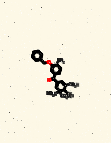 CCOC(=O)C1(C(=O)O)C=C(C(=O)c2ccc([N+](=O)[O-])c(OCc3ccccc3)c2)C=C(C(=O)O)C1C